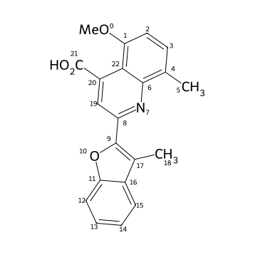 COc1ccc(C)c2nc(-c3oc4ccccc4c3C)cc(C(=O)O)c12